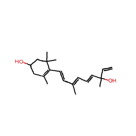 C=CC(C)(O)C=CC=C(C)C=CC1=C(C)CC(O)CC1(C)C